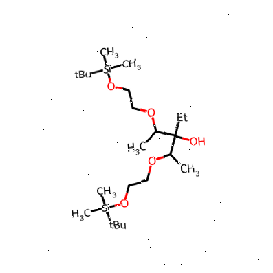 CCC(O)(C(C)OCCO[Si](C)(C)C(C)(C)C)C(C)OCCO[Si](C)(C)C(C)(C)C